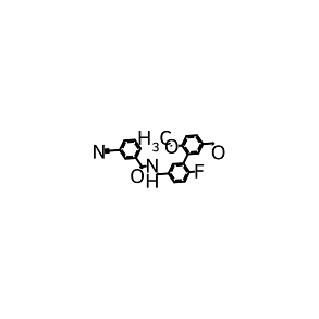 COc1ccc(C=O)cc1-c1cc(CNC(=O)c2cccc(C#N)c2)ccc1F